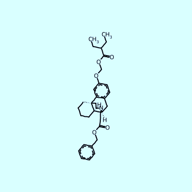 CCC(CC)C(=O)OCOc1ccc2c(c1)[C@]13CCCC[C@@H]1[C@H](C2)N(C(=O)OCc1ccccc1)CC3